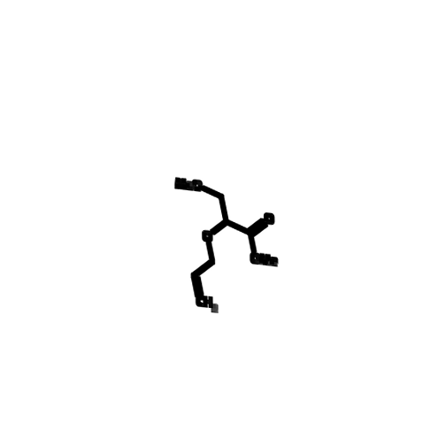 C=CCOC(COC)C(=O)OC